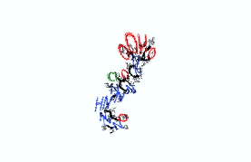 CN1CCn2nc(Nc3nc4ncc(Oc5ccnc(N(C(=O)O)[C@H]6CCOC6)c5)c(Cl)c4n3C)cc2C1=O